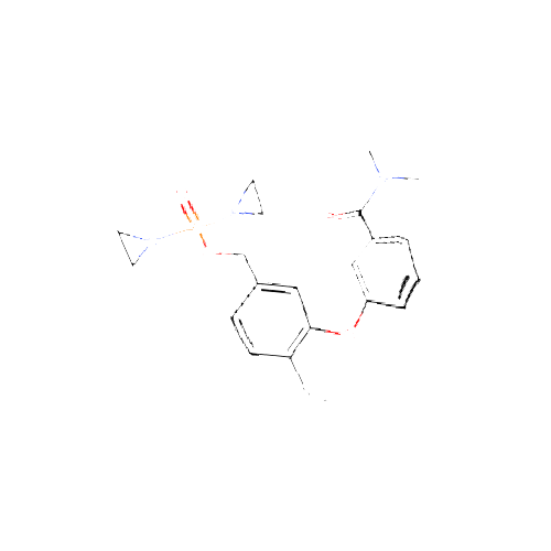 CN(C)C(=O)c1cccc(Oc2cc(COP(=O)(N3CC3)N3CC3)ccc2[N+](=O)[O-])c1